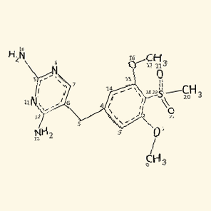 COc1cc(Cc2cnc(N)nc2N)cc(OC)c1S(C)(=O)=O